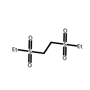 CCS(=O)(=O)CCS(=O)(=O)CC